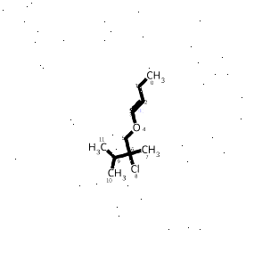 CC/C=C/OCC(C)(Cl)C(C)C